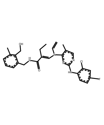 C=CN(/C=C(\CC)C(=O)NCc1cccc(C)c1CO)c1nc(Nc2ccc(F)cc2Cl)ncc1C